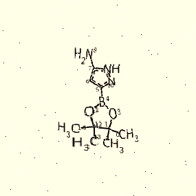 CC1(C)OB(c2cc(N)[nH]n2)OC1(C)C